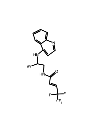 CC(C)C(CNC(=O)C=CC(F)(F)C(F)(F)F)Nc1ccnc2ccccc12